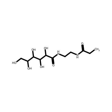 CCC(=O)NCCNC(=O)C(O)C(O)C(O)C(O)CO